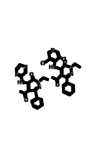 CCn1nc(-c2ccccc2)c(C(C)=O)c(Nc2c(Cl)cncc2Cl)c1=O.CCn1nc(-c2ccccc2)c(C(C)=O)c(Nc2cnccn2)c1=O